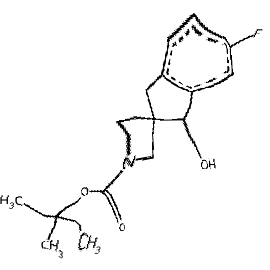 CC(C)(C)OC(=O)N1CC2(Cc3ccc(F)cc3C2O)C1